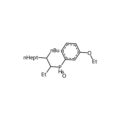 CCCCCCCC(CCCC)C(CC)[PH](=O)c1cccc(OCC)c1